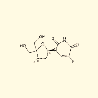 C[C@H]1C[C@H](n2cc(F)c(=O)[nH]c2=O)OC1(CO)CO